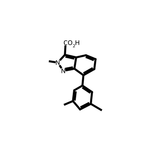 Cc1cc(C)cc(-c2cccc3c(C(=O)O)n(C)nc23)c1